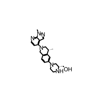 C[C@H]1CN(c2ccnc3c2cnn3C)Cc2ccc(N3CCN[C@@H](CO)C3)cc21